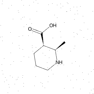 C[C@H]1NCCC[C@H]1C(=O)O